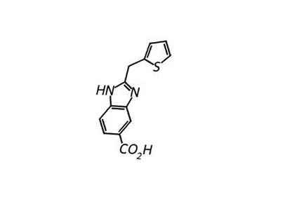 O=C(O)c1ccc2[nH]c(Cc3cccs3)nc2c1